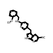 [C-]#[N+]c1cnc2[nH]cc(Cc3ccc(NCc4ccccc4OCC)nc3)c2c1